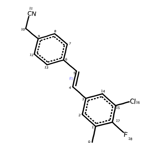 Cc1cc(/C=C/c2ccc(CC#N)cc2)cc(Cl)c1F